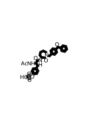 CC(=O)N[C@@H](Cc1ccc(OP(=O)(O)O)cc1)C(=O)N[C@H]1CCCCN(Cc2ccc(C(=O)c3ccccc3)cc2)C1=O